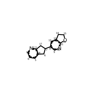 c1cnc2c(c1)CC(c1cnc3c(c1)CCO3)C2